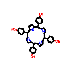 Oc1ccc(C2=C3C=CC(=N3)C(c3ccc(O)cc3)=c3ccc([nH]3)=C(c3ccc(O)cc3)C3=NC(=C(c4ccc(O)cc4)C4CC=C2N4)C=C3)cc1